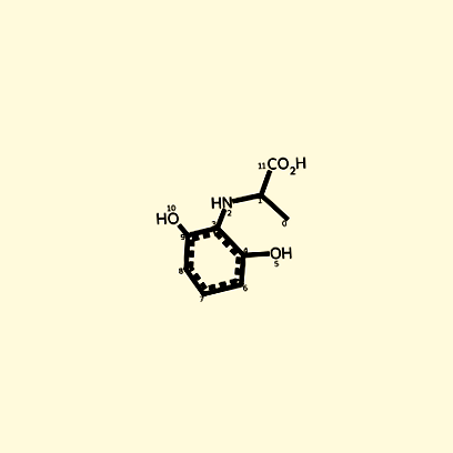 CC(Nc1c(O)cccc1O)C(=O)O